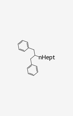 CCCCCCCC(Cc1ccccc1)Cc1ccccc1